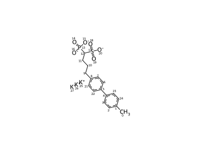 Cc1ccc(-c2ccc(CCCC(P(=O)([O-])[O-])S(=O)(=O)[O-])cc2)cc1.[K+].[K+].[K+]